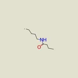 [CH2]CCCCNC(=O)CCC